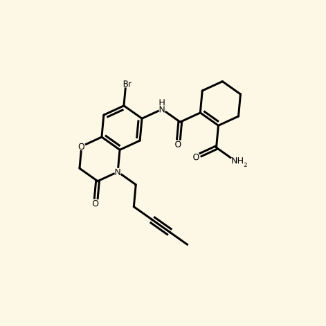 CC#CCCN1C(=O)COc2cc(Br)c(NC(=O)C3=C(C(N)=O)CCCC3)cc21